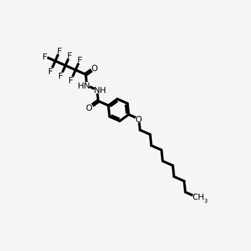 CCCCCCCCCCOc1ccc(C(=O)NNC(=O)C(F)(F)C(F)(F)C(F)(F)F)cc1